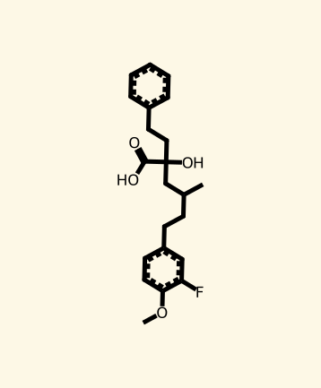 COc1ccc(CCC(C)CC(O)(CCc2ccccc2)C(=O)O)cc1F